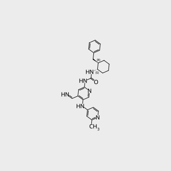 Cc1cc(Nc2cnc(NC(=O)N[C@H]3CCCC[C@@H]3Cc3ccccc3)cc2C=N)ccn1